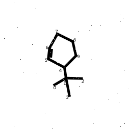 CC(C)(C)C1C=C[CH]CC1